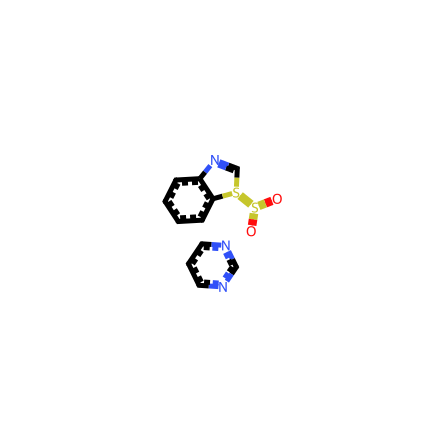 O=S(=O)=S1C=Nc2ccccc21.c1cncnc1